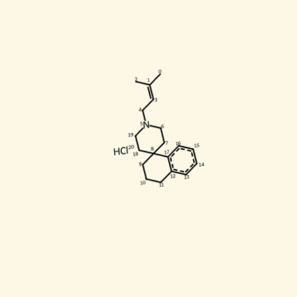 CC(C)=CCN1CCC2(CCCc3ccccc32)CC1.Cl